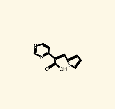 O=C(O)/C(=C\c1cccs1)c1ccncn1